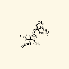 CCC(CC)(N=C=O)O[PH](=O)OC(CC)(CC)N=C=O